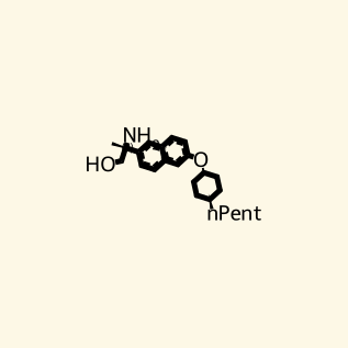 CCCCC[C@H]1CC[C@H](Oc2ccc3cc([C@@](C)(N)CO)ccc3c2)CC1